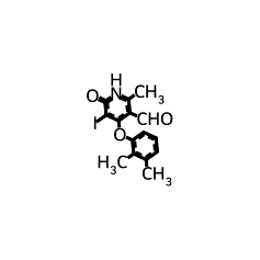 Cc1cccc(Oc2c(C=O)c(C)[nH]c(=O)c2I)c1C